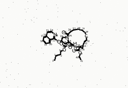 CCCCOC(=O)NC12CC(Oc3nccc4ccccc34)CN1C(=O)CCCCCC/C=C/C1CC1(C(=O)OCC)NC2=O